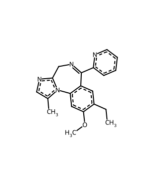 CCc1cc2c(cc1OC)-n1c(C)cnc1CN=C2c1ccccn1